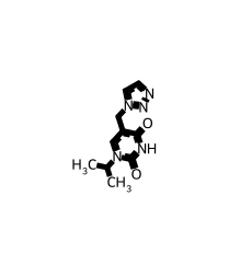 CC(C)n1cc(Cn2ccnn2)c(=O)[nH]c1=O